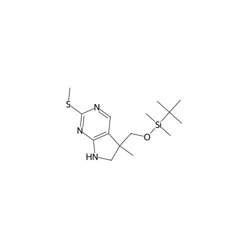 CSc1ncc2c(n1)NCC2(C)CO[Si](C)(C)C(C)(C)C